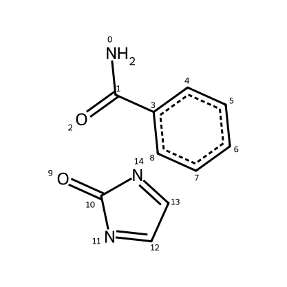 NC(=O)c1ccccc1.O=C1N=CC=N1